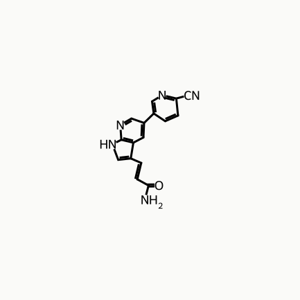 N#Cc1ccc(-c2cnc3[nH]cc(C=CC(N)=O)c3c2)cn1